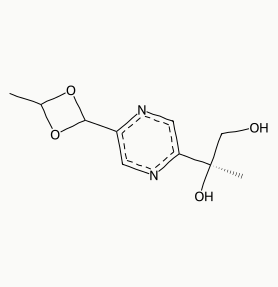 CC1OC(c2cnc([C@](C)(O)CO)cn2)O1